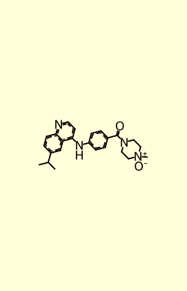 CC(C)c1ccc2nccc(Nc3ccc(C(=O)N4CC[N+](C)([O-])CC4)cc3)c2c1